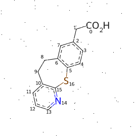 O=C(O)Cc1ccc2c(c1)CCc1cccnc1S2